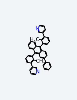 Cc1c(-c2cccnc2)cccc1-c1c2ccccc2c(-c2cccc(-c3cccnc3)c2C)c2cc(-c3ccccc3)ccc12